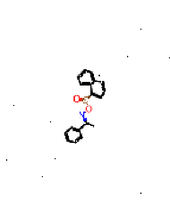 C/C(=N\OS(=O)c1cccc2ccccc12)c1ccccc1